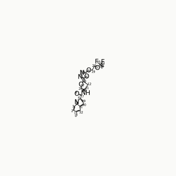 Cc1ccc2nc(C(=O)N[C@@H]3CC[C@@H](c4nnc(OCCOC(F)(F)F)o4)OC3)ccc2c1